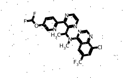 CC(c1nccnc1-c1ccc(OC(F)F)cn1)N(C)c1ncnc2c(Cl)cc(C(F)(F)F)cc12